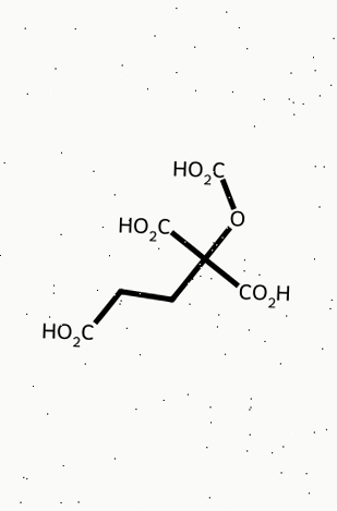 O=C(O)CCC(OC(=O)O)(C(=O)O)C(=O)O